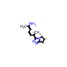 C=C(/C=C\C=C(/C)N)c1nnc2n1CCC2